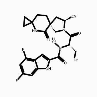 CC(C)C[C@@H](C(=O)N1C[C@]2(CCC3(CC3)NC2=O)C[C@H]1C#N)N(C)C(=O)c1cc2c(F)cc(F)cc2[nH]1